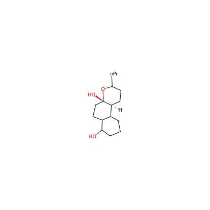 CCCC1CC[C@H]2C3CCCC(O)C3CC[C@]2(O)O1